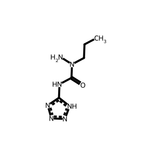 CCCN(N)C(=O)Nc1nnn[nH]1